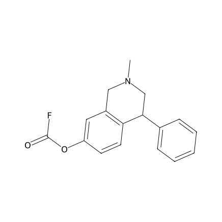 CN1Cc2cc(OC(=O)F)ccc2C(c2ccccc2)C1